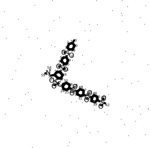 Cc1ccc(S(=O)(=O)c2ccc(S(=O)(=O)c3ccc([S](=O)(=O)[Co][c]4ccc(S(=O)(=O)c5ccc(S(=O)(=O)c6ccc(S(C)(=O)=O)cc6)cc5)cc4)c(CN(C)C)c3)cc2)cc1